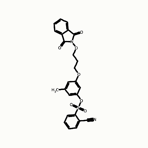 Cc1cc(OCCCON2C(=O)c3ccccc3C2=O)cc(OS(=O)(=O)c2ccccc2C#N)c1